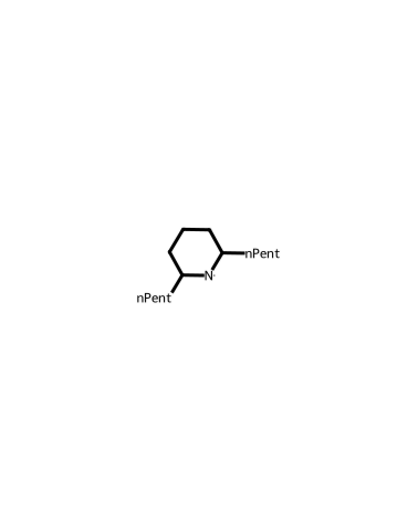 CCCCCC1CCCC(CCCCC)[N]1